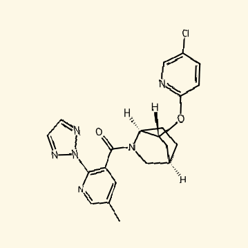 Cc1cnc(-n2nccn2)c(C(=O)N2C[C@@H]3CC[C@H]2[C@H](Oc2ccc(Cl)cn2)C3)c1